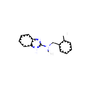 Cc1ccccc1CN(C)c1nc2ccccc2[nH]1